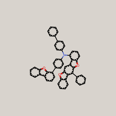 c1ccc(-c2ccc(N(c3ccc(-c4cccc5c4oc4ccccc45)cc3)c3cccc4oc5c(-c6ccccc6)c6c(cc5c34)oc3ccccc36)cc2)cc1